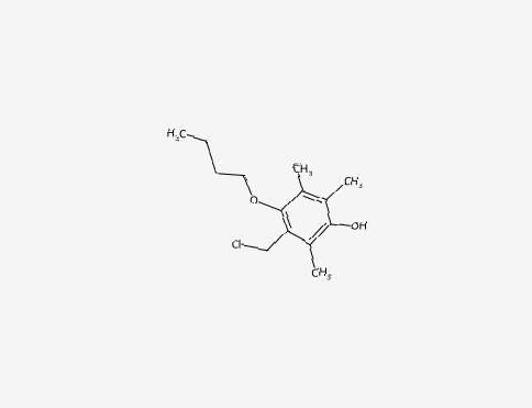 CCCCOc1c(C)c(C)c(O)c(C)c1CCl